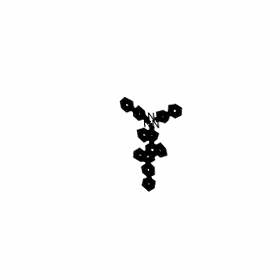 c1ccc(-c2ccc(-c3nc(-c4ccc(-c5ccccc5)cc4)nc(-c4ccc(-c5cc6c7ccccc7c(-c7ccc(-c8ccccc8)cc7)cc6c6ccccc56)c5ccccc45)n3)cc2)cc1